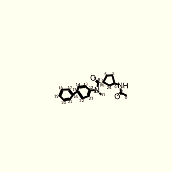 CC(=O)NC1CC[C@@H](C(=O)N(C)c2ccc(-c3ccccc3)cc2)C1